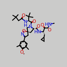 CNC(=O)C(=O)[C@H](CC1CC1)NC(=O)[C@@H]1C[C@]2(CC(c3cc(C)c(OC)c(C)c3)=NO2)CN1C(=O)[C@@H](NC(=O)CC(C)(C)C)C(C)(C)C